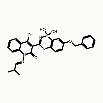 CC(C)C=Nn1c(=O)c(C2=NS(O)(O)c3cc(OCc4ccccc4)ccc3N2)c(O)c2ccccc21